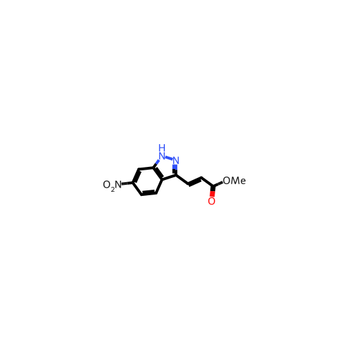 COC(=O)/C=C/c1n[nH]c2cc([N+](=O)[O-])ccc12